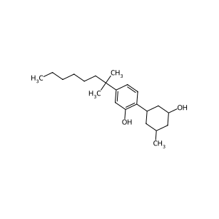 CCCCCCC(C)(C)c1ccc(C2CC(C)CC(O)C2)c(O)c1